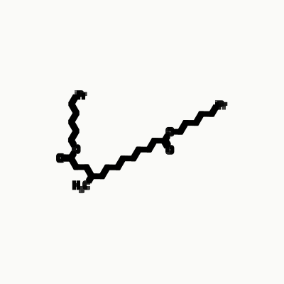 CC(C)CCCCCOC(=O)CCCCCCCCC(C)CCC(=O)OCCCCCC(C)C